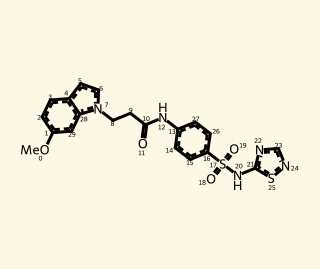 COc1ccc2ccn(CCC(=O)Nc3ccc(S(=O)(=O)Nc4ncns4)cc3)c2c1